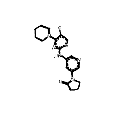 O=C1CCCN1c1cncc(Nc2ncc(Cl)c(N3CCCCC3)n2)c1